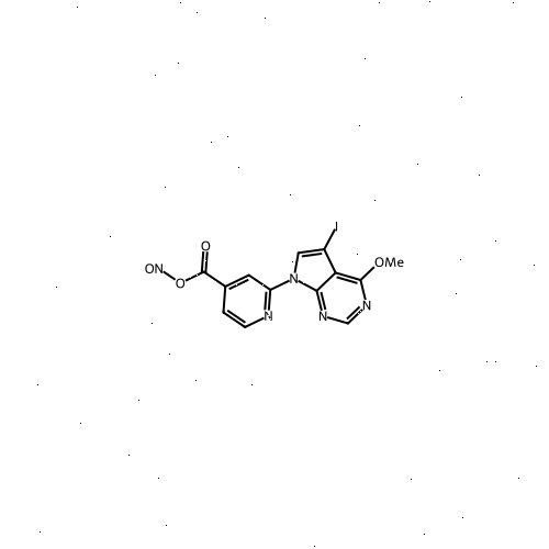 COc1ncnc2c1c(I)cn2-c1cc(C(=O)ON=O)ccn1